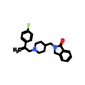 C=C(CN1CCC(CN2Cc3ccccc3C2=O)CC1)c1ccc(F)cc1